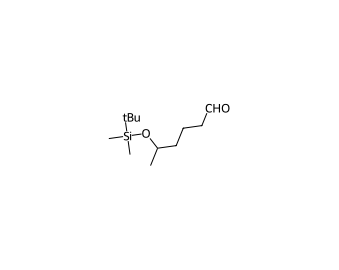 CC(CCCC=O)O[Si](C)(C)C(C)(C)C